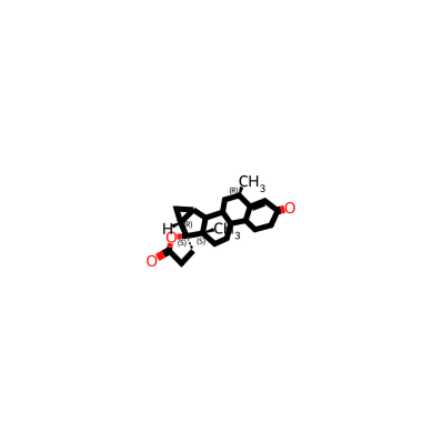 C[C@@H]1CC2C(CC[C@@]3(C)C2C2C[C@H]2[C@@]32CCC(=O)O2)C2CCC(=O)C=C21